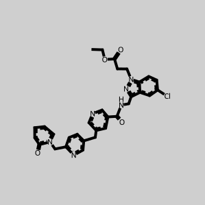 CCOC(=O)CCn1nc(CNC(=O)c2cncc(Cc3ccc(Cn4ccccc4=O)nc3)c2)c2cc(Cl)ccc21